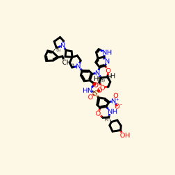 CCc1ccccc1[C@@H]1CCCN1C1CC2(CCN(c3ccc(C(=O)NS(=O)(=O)c4cc5c(c([N+](=O)[O-])c4)N[C@H](C4CCC(O)CC4)CO5)c(N4c5cc6cc[nH]c6nc5O[C@H]5CCOC[C@@H]54)c3)CC2)C1